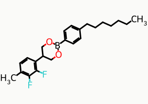 CCCCCCCc1ccc(B2OCC(c3ccc(C)c(F)c3F)CO2)cc1